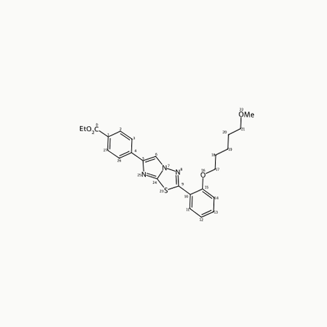 CCOC(=O)c1ccc(-c2cn3nc(-c4ccccc4OCCCCCOC)sc3n2)cc1